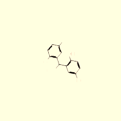 CCCC(c1cc(CC)ccc1O)c1cc(CC)ccc1O